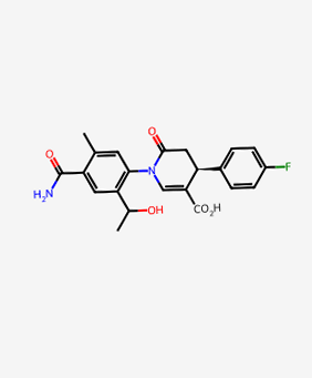 Cc1cc(N2C=C(C(=O)O)[C@H](c3ccc(F)cc3)CC2=O)c(C(C)O)cc1C(N)=O